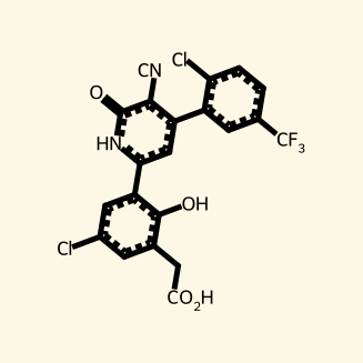 N#Cc1c(-c2cc(C(F)(F)F)ccc2Cl)cc(-c2cc(Cl)cc(CC(=O)O)c2O)[nH]c1=O